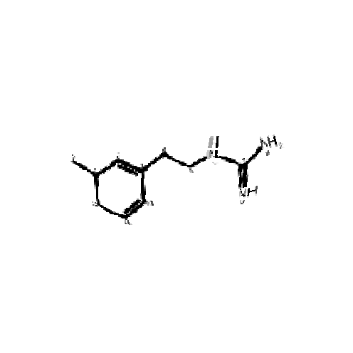 CC1C=C(CCNC(=N)N)C=CC1